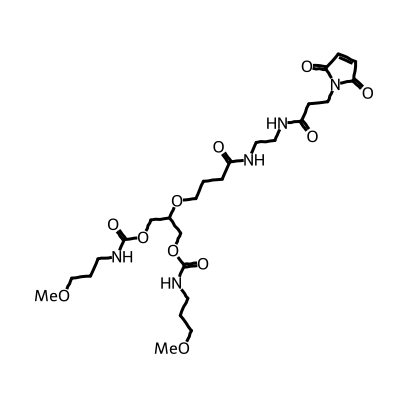 COCCCNC(=O)OCC(COC(=O)NCCCOC)OCCCC(=O)NCCNC(=O)CCN1C(=O)C=CC1=O